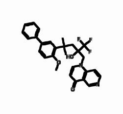 COc1ccc(-c2ccccc2)cc1C(C)(C)CC(O)(Cn1ccc(=O)c2cnccc21)C(F)(F)F